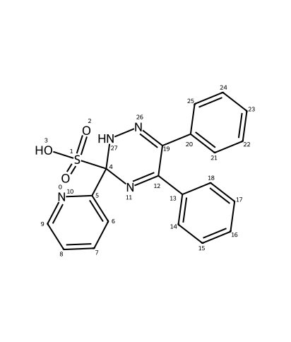 O=S(=O)(O)C1(c2ccccn2)N=C(c2ccccc2)C(c2ccccc2)=NN1